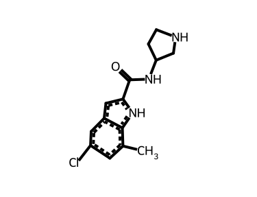 Cc1cc(Cl)cc2cc(C(=O)NC3CCNC3)[nH]c12